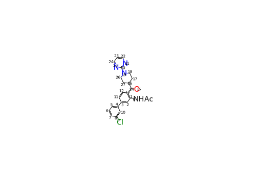 CC(=O)Nc1cc(-c2cccc(Cl)c2)ccc1C(=O)C1CCN(c2ncccn2)CC1